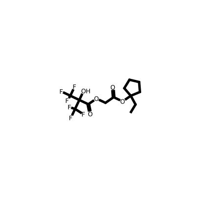 CCC1(OC(=O)COC(=O)C(O)(C(F)(F)F)C(F)(F)F)CCCC1